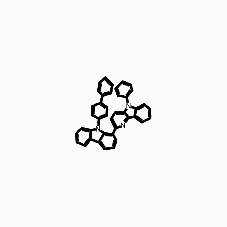 c1ccc(-c2ccc(-n3c4ccccc4c4cccc(-c5ccc6c(n5)c5ccccc5n6-c5ccccc5)c43)cc2)cc1